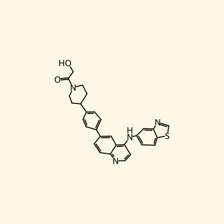 O=C(CO)N1CCC(c2ccc(-c3ccc4nccc(Nc5ccc6scnc6c5)c4c3)cc2)CC1